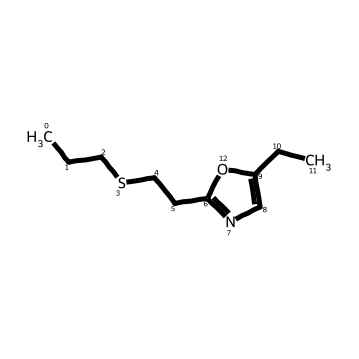 CCCSCCc1ncc(CC)o1